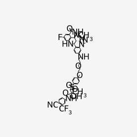 Cn1ncnc1[C@H]1c2n[nH]c(=O)c3cc(F)cc(c23)N[C@@H]1c1ccc(NCCOCCOc2ccc(S(=O)(=O)CC(C)(O)C(=O)Nc3ccc(C#N)c(C(F)(F)F)c3)cc2)cc1